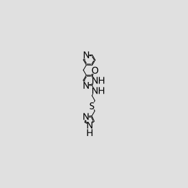 O=c1[nH]c(NCCSCc2c[nH]cn2)ncc1Cc1cccnc1